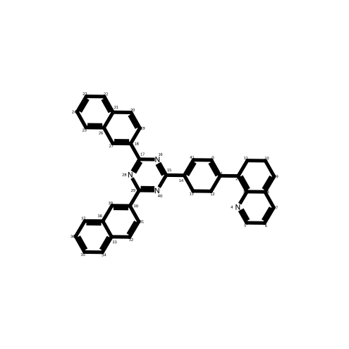 C1=C(C2=c3ncccc3=CCC2)CCC(c2nc(-c3ccc4ccccc4c3)nc(-c3ccc4ccccc4c3)n2)=C1